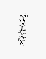 CNC(=O)N1CCC2(CC1)CC(N1CCN(c3cnc(C(C)C)nc3)CC1)C2